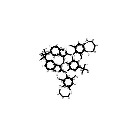 Cc1cc2c(c(C)c1N1c3cc(C(C)(C)C)cc4c3B(c3c1oc1ccc(C(C)(C)C)cc31)c1c(oc3ccc(C(C)(C)C)cc13)N4c1c(C)cc3c(c1C)OCCCO3)OCCCO2